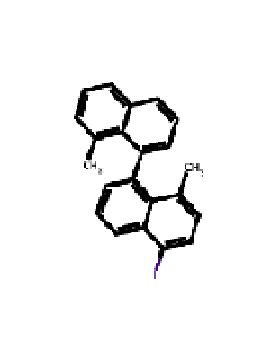 Cc1cccc2cccc(-c3cccc4c(I)ccc(C)c34)c12